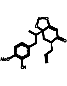 C=CC[C@H]1C[C@]2(C(C)Cc3ccc(OC)c(C#N)c3)OCOC2=CC1=O